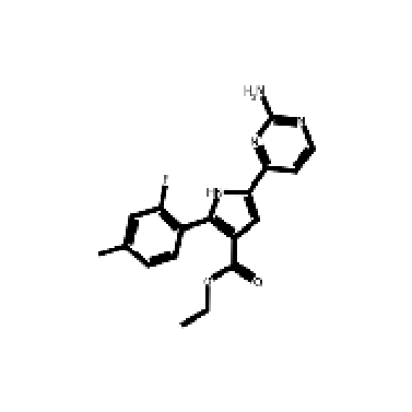 CCOC(=O)c1cc(-c2ccnc(N)n2)[nH]c1-c1ccc(C)cc1F